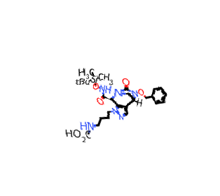 CC(C)(C)[Si](C)(C)ONC(=O)[C@@H]1c2c(cnn2CCCCNC(=O)O)[C@@H]2CN1C(=O)N2OCc1ccccc1